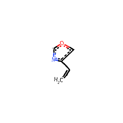 C=Cc1co[c]n1